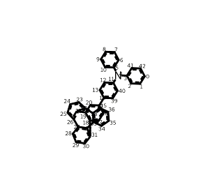 c1ccc(N(c2ccccc2)c2ccc(-c3ccc4c(c3)-c3c5cccc3-c3cccc-4c3-c3ccccc3-5)cc2)cc1